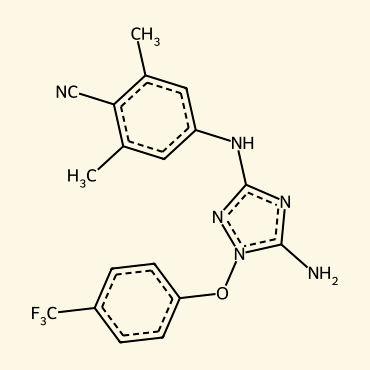 Cc1cc(Nc2nc(N)n(Oc3ccc(C(F)(F)F)cc3)n2)cc(C)c1C#N